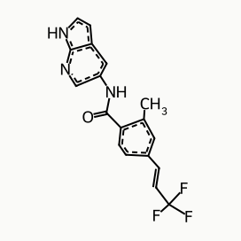 Cc1cc(/C=C/C(F)(F)F)ccc1C(=O)Nc1cnc2[nH]ccc2c1